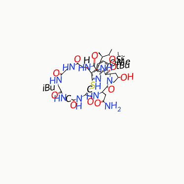 CC[C@H](C)[C@@H]1NC(=O)CNC(=O)[C@@H]2Cc3c([nH]c4cc(OC)ccc34)SCC(NC(=O)CNC1=O)C(=O)NC(CC(N)=O)C(=O)N1C[C@H](O)CC1C(=O)N[C@H]([C@@H](C)C(C)O[Si](C)(C)C(C)(C)C)C(=O)N2